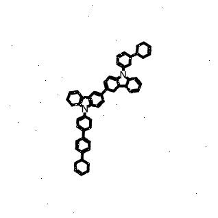 C1=CC(C2CC=CCC2)CC(N2C3=CC=C(c4ccc5c(c4)c4c(n5C5=CC=C(c6ccc(C7CC=CCC7)cc6)CC5)CCC=C4)CC3C3C=CC=CC32)=C1